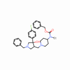 CCN(C(=O)OCc1ccccc1)C1CCN(CC2CN(Cc3ccccc3)CC2(O)c2ccc(F)cc2)CC1